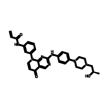 C=CC(=O)Nc1cccc(-n2ccc(=O)c3cnc(Nc4ccc(N5CCN(C[C@@H](C)O)CC5)cc4)nc32)c1